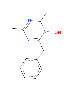 CC1=NC(C)N(O)C(Cc2ccccc2)=N1